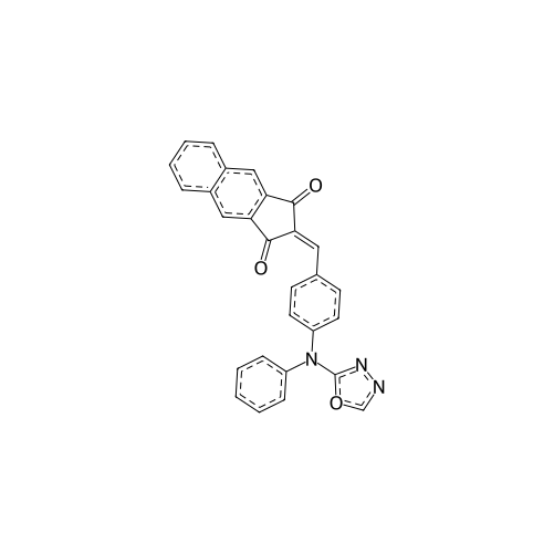 O=C1C(=Cc2ccc(N(c3ccccc3)c3nnco3)cc2)C(=O)c2cc3ccccc3cc21